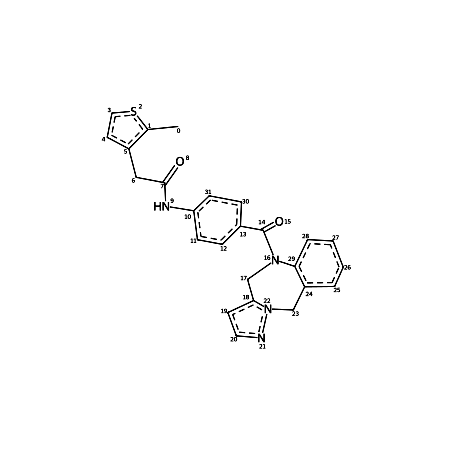 Cc1sccc1CC(=O)Nc1ccc(C(=O)N2Cc3ccnn3Cc3ccccc32)cc1